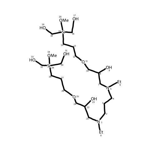 CCN(CCCN(CC)CC(O)COCCC[Si](CO)(CO)OC)CC(O)COCCC[Si](CO)(CO)OC